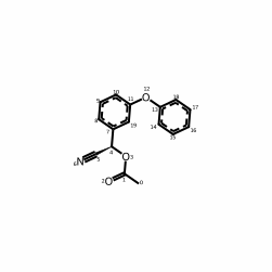 CC(=O)O[C@@H](C#N)c1cccc(Oc2ccccc2)c1